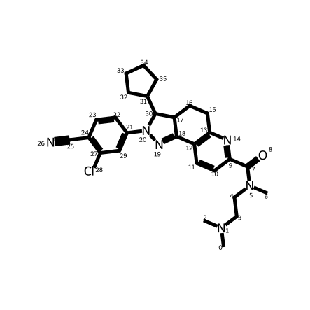 CN(C)CCN(C)C(=O)c1ccc2c(n1)CCC1C2=NN(c2ccc(C#N)c(Cl)c2)C1C1CCCC1